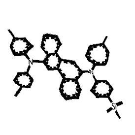 Cc1ccc(N(c2ccc(C)cc2)c2cc3c4ccccc4c(N(c4ccc(C)cc4)c4ccc([Si](C)(C)C)cc4)cc3c3ccccc23)cc1